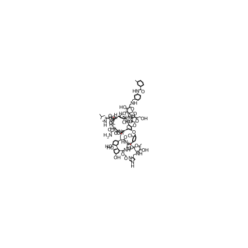 CN[C@H](CC(C)C)C(=O)N[C@H]1C(=O)C[C@@H](CC(N)=O)C(=O)N[C@H]2C(=O)CC3C(=O)N[C@H](C(=O)N[C@@H](OC=O)c4cc(O)cc(O)c4-c4cc3ccc4O)C(O[C@H]3C[C@](C)(NCc4c[nH]cn4)[C@@H](O)[C@H](C)O3)c3ccc(c(Cl)c3)Oc3cc2cc(c3OC2O[C@H](CO)[C@@H](OC3O[C@H](CNCc4cccc(NC(=O)c5cccc(C)c5)c4)[C@H](O)[C@H](O)[C@H]3O)[C@H](O)[C@H]2O)Oc2ccc(cc2Cl)[C@H]1O